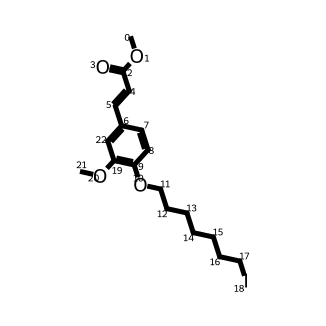 COC(=O)/C=C/c1ccc(OCCCCCCCI)c(OC)c1